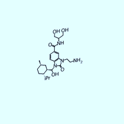 CC(C)[C@@H]1CC[C@@H](C)C[C@H]1C(O)n1c(=O)n(CCN)c2cc(C(=O)NC(CO)CO)ccc21